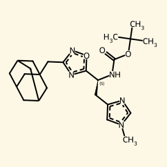 Cn1cnc(C[C@H](NC(=O)OC(C)(C)C)c2nc(CC34CC5CC(CC(C5)C3)C4)no2)c1